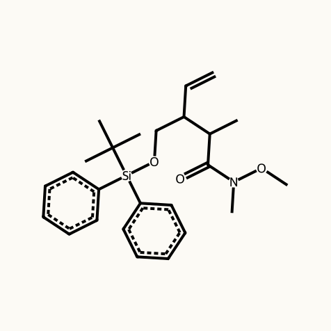 C=CC(CO[Si](c1ccccc1)(c1ccccc1)C(C)(C)C)C(C)C(=O)N(C)OC